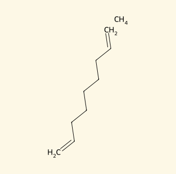 C.C=CCCCCCC=C